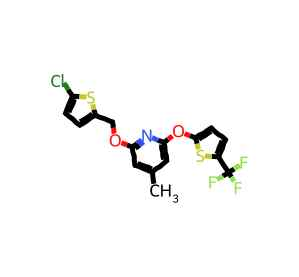 Cc1cc(OCc2ccc(Cl)s2)nc(Oc2ccc(C(F)(F)F)s2)c1